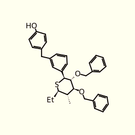 CC[C@H]1S[C@@H](c2cccc(Cc3ccc(O)cc3)c2)[C@H](OCc2ccccc2)[C@@H](OCc2ccccc2)[C@@H]1C